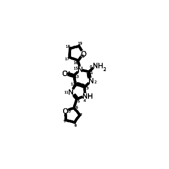 Nc1nc2[nH]c(C3CCCO3)nc2c(=O)n1C1CCCO1